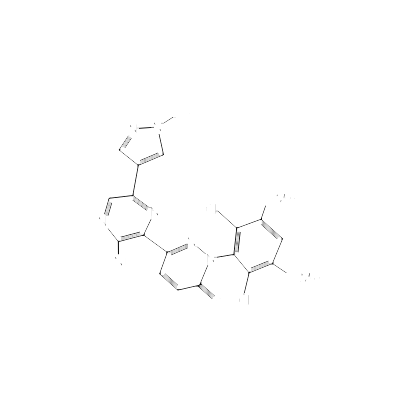 COc1cc(OC)c(Cl)c(-n2nc(-c3nc(-c4cnn(C(C)C)c4)cnc3N)ccc2=O)c1Cl